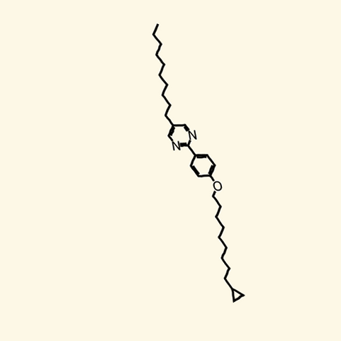 CCCCCCCCCCc1cnc(-c2ccc(OCCCCCCCCCC3CC3)cc2)nc1